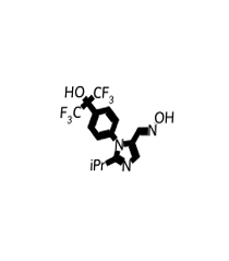 CC(C)c1ncc(C=NO)n1-c1ccc(C(O)(C(F)(F)F)C(F)(F)F)cc1